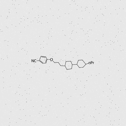 CCCC1CCC(C2CCC(CCCOc3ccc(C#N)cc3)CC2)CC1